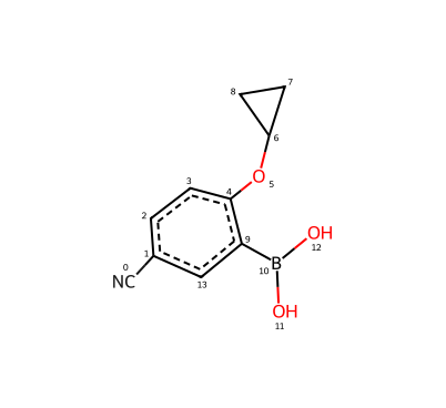 N#Cc1ccc(OC2CC2)c(B(O)O)c1